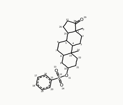 CC12CCC3C(CCC4CC(OS(=O)(=O)c5ccccc5)CCC43C)C1CCC2=O